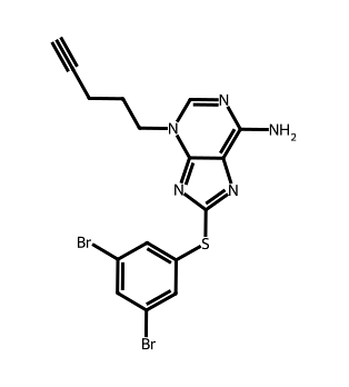 C#CCCCn1cnc(N)c2nc(Sc3cc(Br)cc(Br)c3)nc1-2